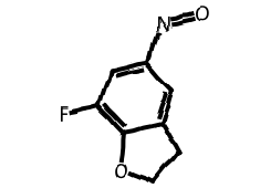 O=Nc1cc(F)c2c(c1)CCO2